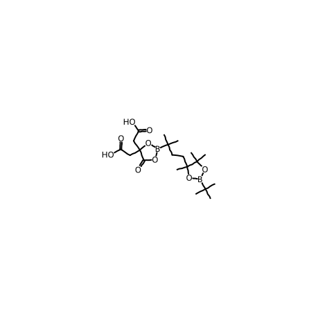 CC(C)(C)B1OC(C)(C)C(C)(CCC(C)(C)B2OC(=O)C(CC(=O)O)(CC(=O)O)O2)O1